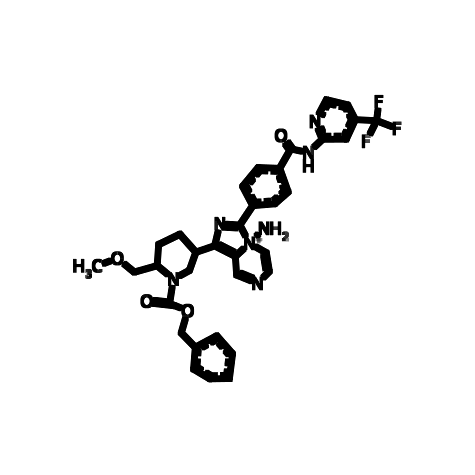 COCC1CCC(C2=C3C=NC=C[N+]3(N)C(c3ccc(C(=O)Nc4cc(C(F)(F)F)ccn4)cc3)=N2)CN1C(=O)OCc1ccccc1